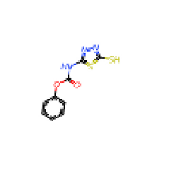 O=C(Nc1nnc(S)s1)Oc1ccccc1